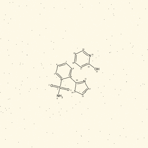 NS(=O)(=O)c1ccccc1-c1nccs1.Oc1ccccn1